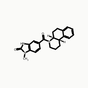 Cn1c(=O)[nH]c2cc(C(=O)N3CCC[C@H]4c5ccccc5CC[C@H]43)ccc21